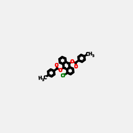 Cc1ccc(C(=O)Oc2c3ccccc3c(OC(=O)c3ccc(C)cc3)c3c(Cl)cccc23)cc1